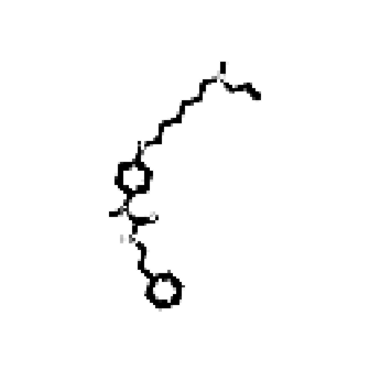 C=CCN(C)CCCCCCOc1ccc(N(C)C(=O)NCCc2ccccc2)cc1